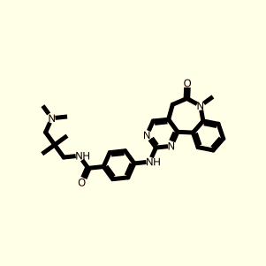 CN(C)CC(C)(C)CNC(=O)c1ccc(Nc2ncc3c(n2)-c2ccccc2N(C)C(=O)C3)cc1